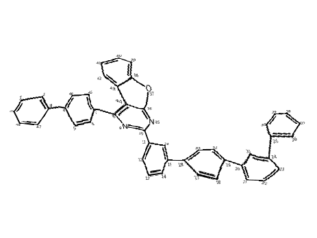 c1ccc(-c2ccc(-c3nc(-c4cccc(-c5ccc(-c6cccc(-c7ccccc7)c6)cc5)c4)nc4oc5ccccc5c34)cc2)cc1